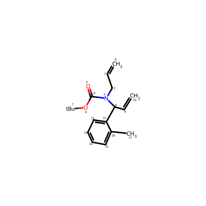 C=CCN(C(=O)OC(C)(C)C)C(C=C)c1ccccc1C